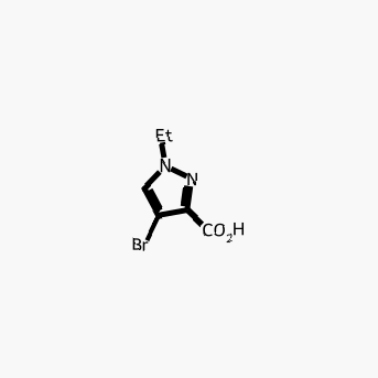 CCn1cc(Br)c(C(=O)O)n1